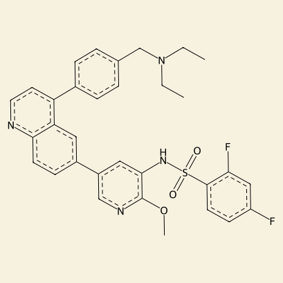 CCN(CC)Cc1ccc(-c2ccnc3ccc(-c4cnc(OC)c(NS(=O)(=O)c5ccc(F)cc5F)c4)cc23)cc1